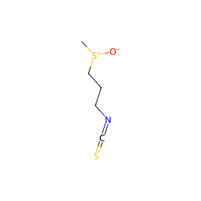 C[S+]([O-])CCCN=C=S